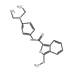 CCN(CC)c1ccc(NC(=O)c2oc(OC)c3ccccc23)cc1